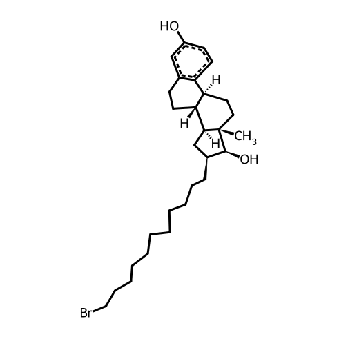 C[C@]12CC[C@@H]3c4ccc(O)cc4CC[C@H]3[C@@H]1C[C@H](CCCCCCCCCCCBr)[C@@H]2O